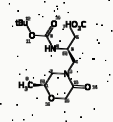 C[C@H]1CN(C[C@H](CC(=O)O)NC(=O)OC(C)(C)C)C(=O)CO1